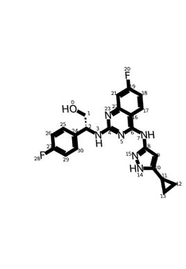 OC[C@H](Nc1nc(Nc2cc(C3CC3)[nH]n2)c2ccc(F)cc2n1)c1ccc(F)cc1